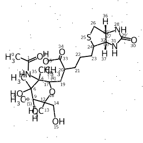 CC(=O)NC1(C)C(C)(O)[C@](C)(O)C(C)(CO)O[C@]1(C)CC(CCCC1SC[C@@H]2NC(=O)N[C@H]12)C(=O)O